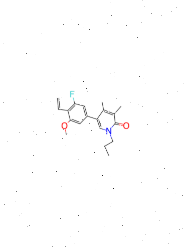 C=Cc1c(F)cc(-c2cn(CCC)c(=O)c(C)c2C)cc1OC